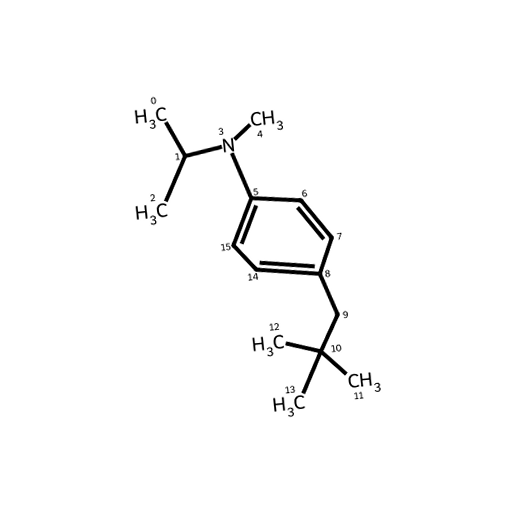 CC(C)N(C)c1ccc(CC(C)(C)C)cc1